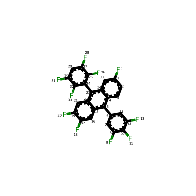 Fc1ccc2c(-c3cc(F)c(F)c(F)c3)c3cc(F)c(F)cc3c(-c3c(F)c(F)cc(F)c3F)c2c1